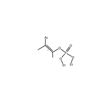 CCOP(=O)(OCC)O/C(C)=C(/C)C(C)=O